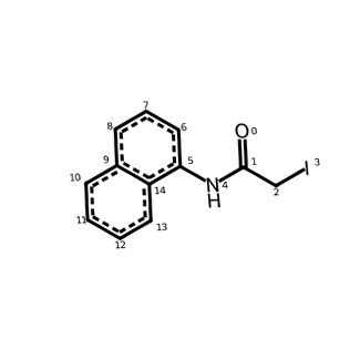 O=C(CI)Nc1cccc2ccccc12